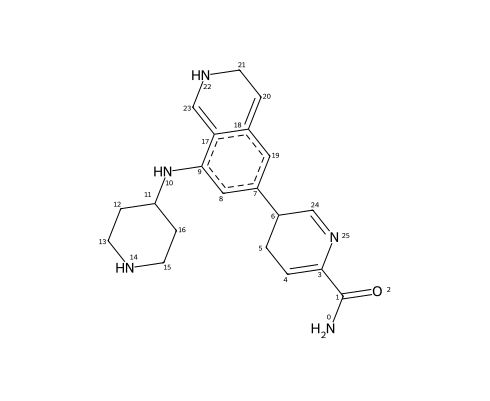 NC(=O)C1=CCC(c2cc(NC3CCNCC3)c3c(c2)=CCNC=3)C=N1